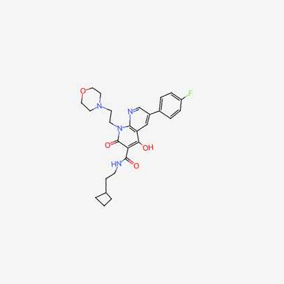 O=C(NCCC1CCC1)c1c(O)c2cc(-c3ccc(F)cc3)cnc2n(CCN2CCOCC2)c1=O